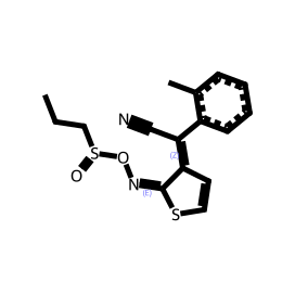 CCCS(=O)O/N=C1/SC=C/C1=C(/C#N)c1ccccc1C